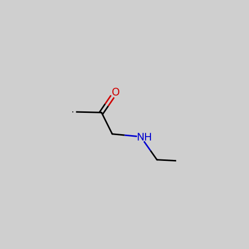 [CH2]C(=O)CNCC